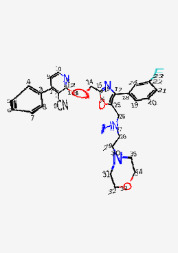 N#Cc1c(-c2ccccc2)ccnc1OCc1nc(-c2cccc(F)c2)c(CNCCN2CCOCC2)o1